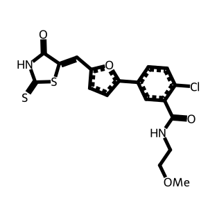 COCCNC(=O)c1cc(-c2ccc(/C=C3\SC(=S)NC3=O)o2)ccc1Cl